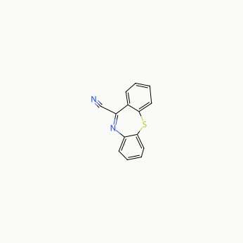 N#CC1=Nc2ccccc2Sc2ccccc21